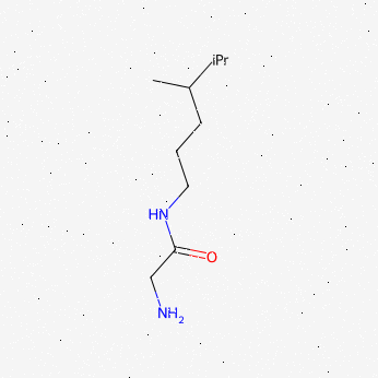 CC(C)C(C)CCCNC(=O)CN